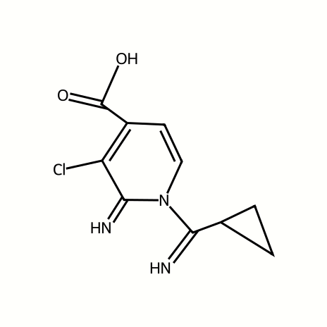 N=C(C1CC1)n1ccc(C(=O)O)c(Cl)c1=N